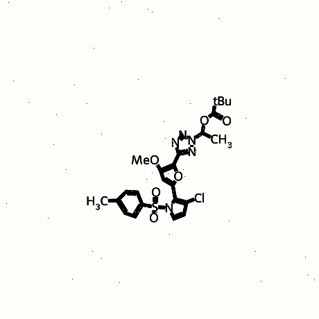 COc1cc(-c2c(Cl)ccn2S(=O)(=O)c2ccc(C)cc2)oc1-c1nnn(C(C)OC(=O)C(C)(C)C)n1